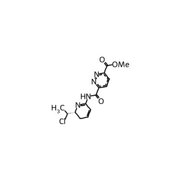 COC(=O)c1ccc(C(=O)NC2=N[C@@H](C(C)Cl)CC=C2)nn1